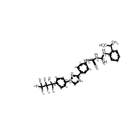 CC(C)c1ccccc1NC(S)NC(=O)Nc1ccc(-c2ncn(-c3ccc(C(F)(F)C(F)(F)C(F)(F)F)cc3)n2)cc1